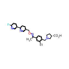 CCc1cc(/C(C)=N/OCc2ccc(-c3ccc(F)nc3)nc2)ccc1CN1CC[C@H](C(=O)O)C1